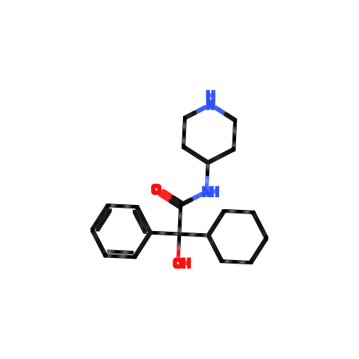 O=C(NC1CCNCC1)C(O)(c1ccccc1)C1CCCCC1